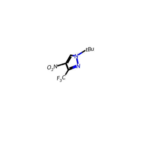 CC(C)(C)n1cc([N+](=O)[O-])c(C(F)(F)F)n1